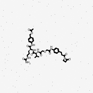 CC(=O)OCc1ccc(NC(=O)[C@H](CCCNC(N)=O)NC(=O)[C@@H](NC(=O)COCC(=O)Nc2ccc(CCC(=O)N3CCC3=O)cc2)C(C)C)cc1